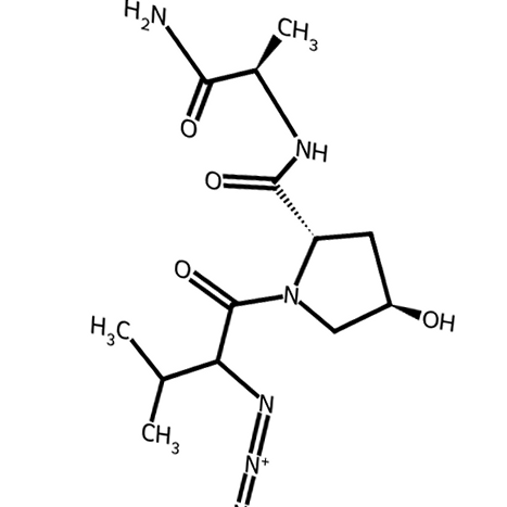 CC(C)C(N=[N+]=[N-])C(=O)N1C[C@H](O)C[C@H]1C(=O)N[C@H](C)C(N)=O